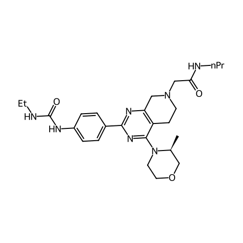 CCCNC(=O)CN1CCc2c(nc(-c3ccc(NC(=O)NCC)cc3)nc2N2CCOC[C@@H]2C)C1